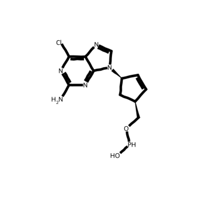 Nc1nc(Cl)c2ncn([C@H]3C=C[C@@H](COPO)C3)c2n1